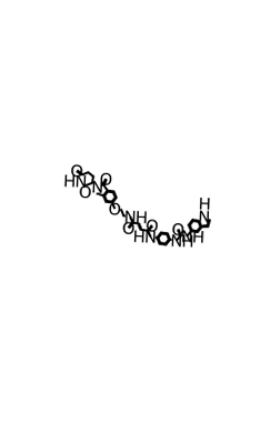 O=C(/C=C/C(=O)Nc1ccc(NC(=O)Nc2ccc3[nH]ccc3c2)cc1)NCCOc1ccc2c(c1)CN(C1CCC(=O)NC1=O)C2=O